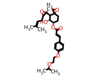 CC(C)=CCC1O[C@]1(C)C1[C@H](O)[C@H](OC(=O)/C=C/c2ccc(OCCOC(C)C)cc2)CCC12CO2